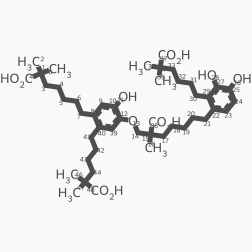 CC(C)(CCCCCc1cc(O)c(OCC(C)(CCCCCc2ccc(O)c(O)c2CCCCC(C)(C)C(=O)O)C(=O)O)cc1CCCCC(C)(C)C(=O)O)C(=O)O